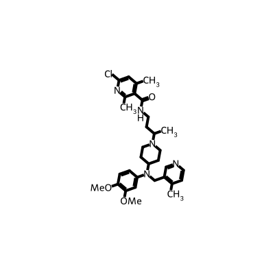 COc1ccc(N(Cc2cnccc2C)C2CCN(C(C)CCNC(=O)c3c(C)cc(Cl)nc3C)CC2)cc1OC